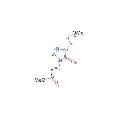 COCCn1nnn(/C=C/C(=O)OC)c1=O